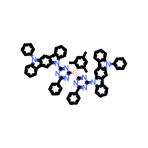 Cc1cc(C)c(B(c2nc(-c3ccccc3)nc(-n3c4ccccc4c4cc5c(cc43)c3ccccc3n5-c3ccccc3)n2)c2nc(-c3ccccc3)nc(-n3c4ccccc4c4cc5c(cc43)c3ccccc3n5-c3ccccc3)n2)c(C)c1